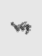 COCC1CC2(C1)CC(Nc1nc(CC(C)n3c(=O)c(Cl)cc4cnc(N[C@H]5CC[C@H](N(C)C(C)=O)CC5)nc43)c3cc(Cl)c(=O)n(C4CCC(c5c(Cl)c(=O)n(C6CCCC6)c6nc(NC7CCC(OC)CC7)ncc56)C4)c3n1)C2